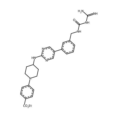 CCOC(=O)c1ccc(N2CCC(Nc3ncc(-c4cccc(CNC(=O)NC(=N)N)c4)cn3)CC2)cc1